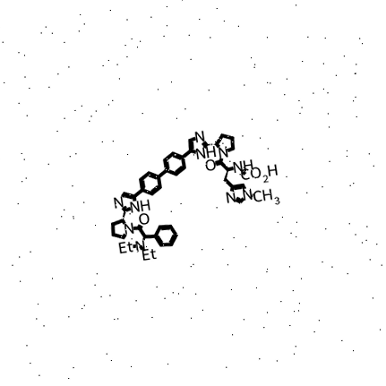 CCN(CC)[C@@H](C(=O)N1CCC[C@H]1c1ncc(-c2ccc(-c3ccc(-c4cnc([C@@H]5CCCN5C(=O)[C@H](Cc5cn(C)cn5)NC(=O)O)[nH]4)cc3)cc2)[nH]1)c1ccccc1